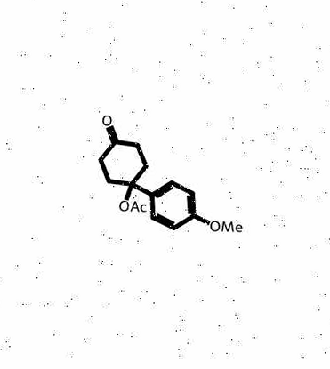 COc1ccc(C2(OC(C)=O)CCC(=O)CC2)cc1